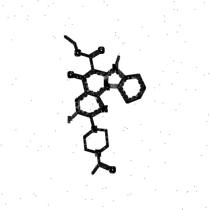 CCOC(=O)c1c(=O)c2cc(F)c(N3CCN(C(C)=O)CC3)nc2n2c3ccccc3n(C)c12